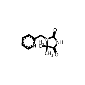 CC1(C)C(=O)NC(=O)N1Cc1ccccn1